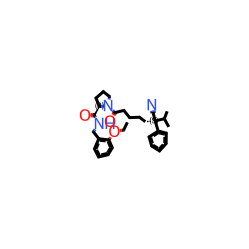 CCOc1ccccc1CNC(=O)[C@H]1CCCN1C(=O)CCCC[C@@](C#N)(c1ccccc1)C(C)C